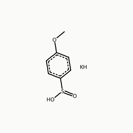 COc1ccc(S(=O)O)cc1.[KH]